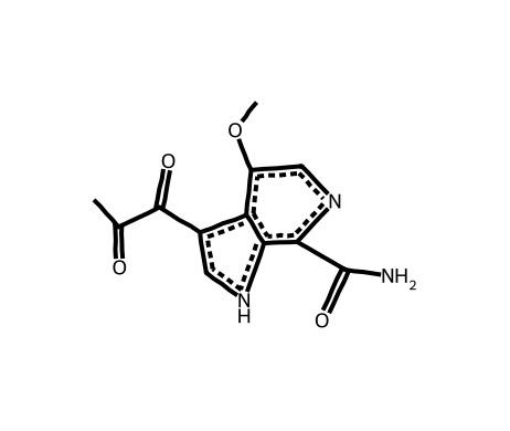 COc1cnc(C(N)=O)c2[nH]cc(C(=O)C(C)=O)c12